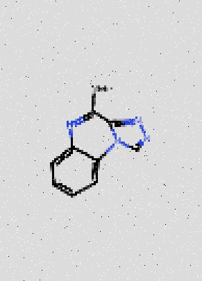 CNc1nc2ccccc2n2cnnc12